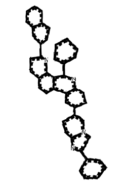 c1ccc(-c2cn3cc(-c4ccc5nc(-c6ccccc6)c6c(ccc7ccc(-c8ccc9ccccc9c8)nc76)c5c4)ccc3n2)cc1